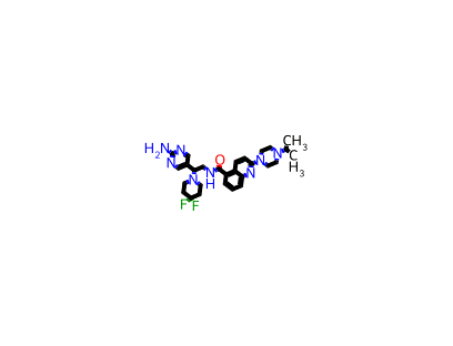 CC(C)N1CCN(c2ccc3c(C(=O)NCC(c4cnc(N)nc4)N4CCC(F)(F)CC4)cccc3n2)CC1